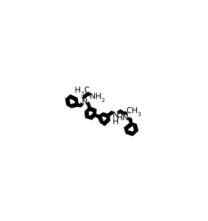 CC(N)CN(Cc1ccccc1)Cc1cccc(-c2cccc(CNCC(C)NCc3ccccc3)c2)c1